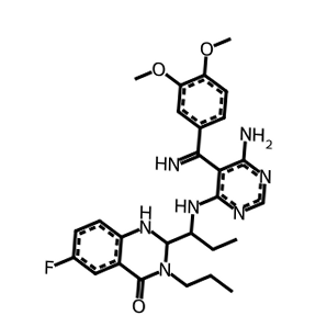 CCCN1C(=O)c2cc(F)ccc2NC1C(CC)Nc1ncnc(N)c1C(=N)c1ccc(OC)c(OC)c1